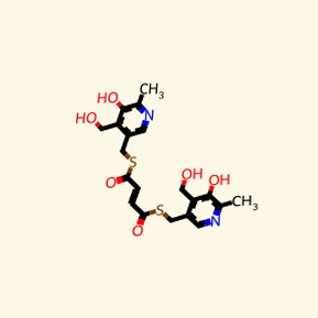 Cc1ncc(CSC(=O)C=CC(=O)SCc2cnc(C)c(O)c2CO)c(CO)c1O